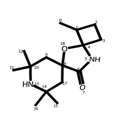 CC1CCC12NC(=O)C1(CC(C)(C)NC(C)(C)C1)O2